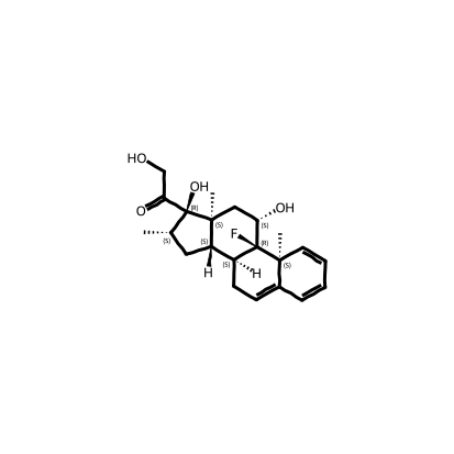 C[C@H]1C[C@H]2[C@@H]3CC=C4C=CC=C[C@]4(C)[C@@]3(F)[C@@H](O)C[C@]2(C)[C@@]1(O)C(=O)CO